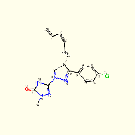 C=C/C=C\C=C\[C@H]1CN(c2nn(C)c(=O)[nH]2)N=C1c1ccc(Cl)cc1